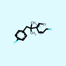 CC/C=C(\C=C/CF)C(C)(C)Cc1ccc(F)cc1